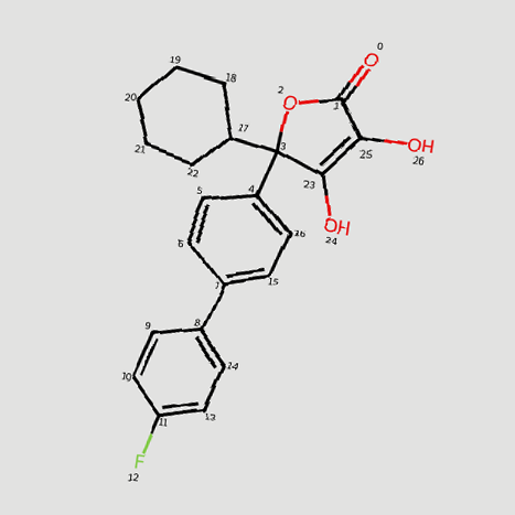 O=C1OC(c2ccc(-c3ccc(F)cc3)cc2)(C2CCCCC2)C(O)=C1O